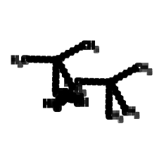 CCCCCCCCCCCC[N+](CCCCCCCCCCCC)(CCCCCCCCCCCC)CCCCCCCCCCCC.CCCCCCCCCCCC[N+](CCCCCCCCCCCC)(CCCCCCCCCCCC)CCCCCCCCCCCC.O=C(O)c1ccc([S+]([O-])c2ccc(C(=O)O)cc2)cc1